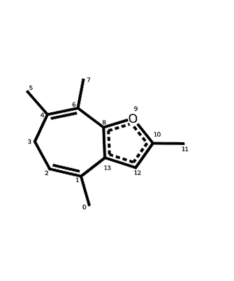 CC1=CCC(C)=C(C)c2oc(C)cc21